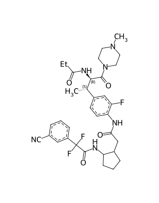 CCC(=O)N[C@@H](C(=O)N1CCN(C)CC1)[C@@H](C)c1ccc(NC(=O)CC2CCCC2NC(=O)C(F)(F)c2cccc(C#N)c2)c(F)c1